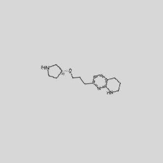 c1cc2c(nc1CCCO[C@@H]1CCNC1)NCCC2